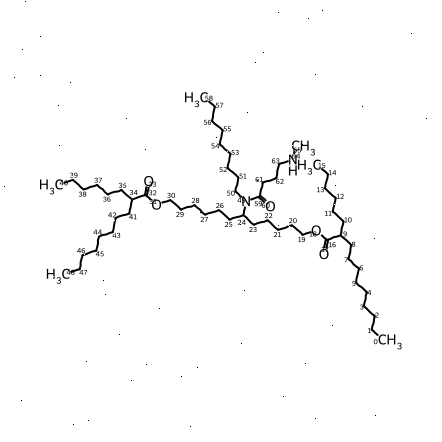 CCCCCCCCCC(CCCCCC)C(=O)OCCCCCC(CCCCCCOC(=O)C(CCCCCC)CCCCCCCC)N(CCCCCCCCC)C(=O)CCCNC